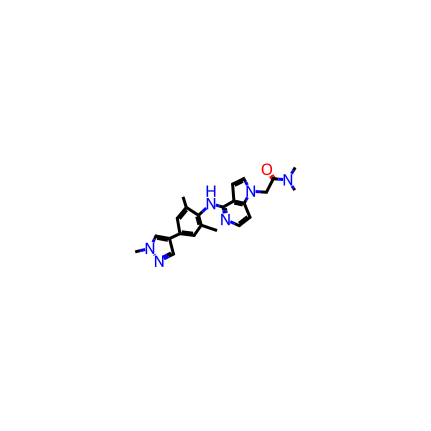 Cc1cc(-c2cnn(C)c2)cc(C)c1Nc1nccc2c1ccn2CC(=O)N(C)C